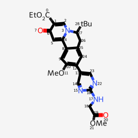 CCOC(=O)c1cn2c(cc1=O)-c1cc(OC)c(-c3cnc(NCC(=O)OC)nc3)cc1CC2C(C)(C)C